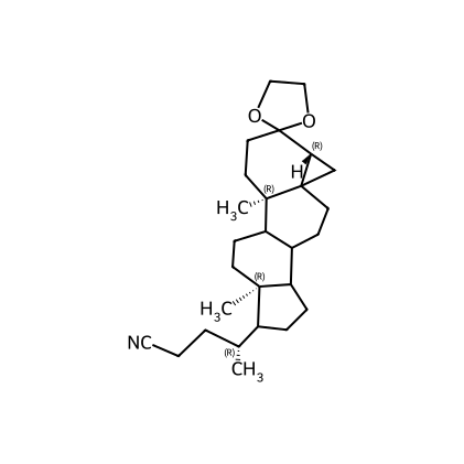 C[C@H](CCC#N)C1CCC2C3CCC45C[C@H]4C4(CC[C@]5(C)C3CC[C@@]21C)OCCO4